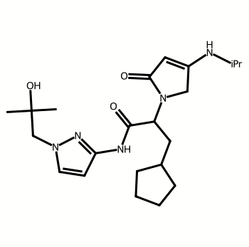 CC(C)NC1=CC(=O)N(C(CC2CCCC2)C(=O)Nc2ccn(CC(C)(C)O)n2)C1